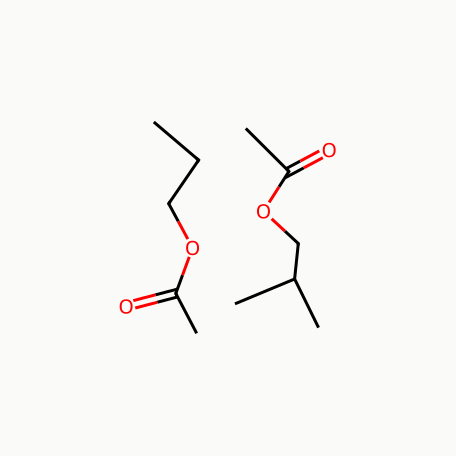 CC(=O)OCC(C)C.CCCOC(C)=O